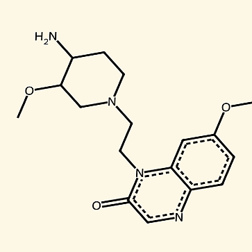 COc1ccc2ncc(=O)n(CCN3CCC(N)C(OC)C3)c2c1